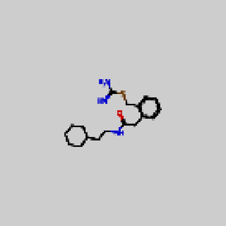 N=C(N)SCc1ccccc1CC(=O)NCCC1CCCCC1